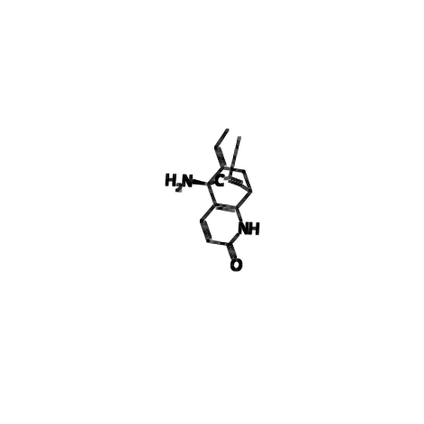 C/C=C1\CC2C=C(C)C[C@]1(N)c1ccc(=O)[nH]c12